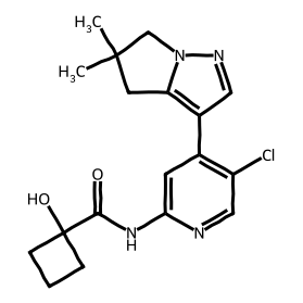 CC1(C)Cc2c(-c3cc(NC(=O)C4(O)CCC4)ncc3Cl)cnn2C1